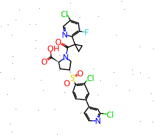 O=C(O)[C@@H]1C[C@@H](S(=O)(=O)c2ccc(-c3ccnc(Cl)c3)cc2Cl)CN1C(=O)C1(c2ncc(Cl)cc2F)CC1